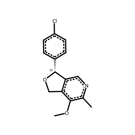 COc1c(C)ncc2c1CO[C@@H]2c1ccc(Cl)cc1